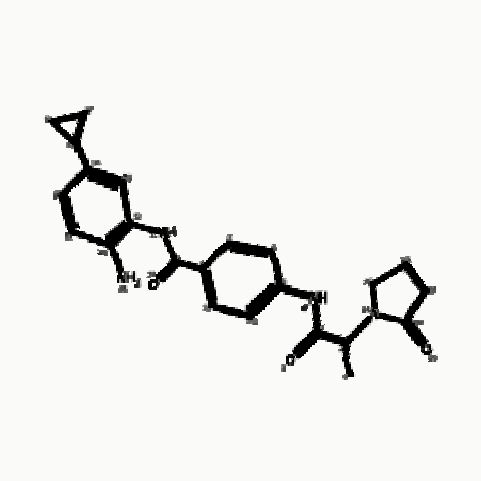 CC(C(=O)Nc1ccc(C(=O)Nc2cc(C3CC3)ccc2N)cc1)N1CCCC1=O